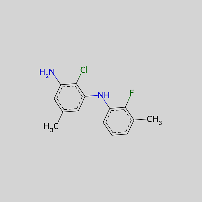 Cc1cc(N)c(Cl)c(Nc2cccc(C)c2F)c1